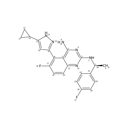 C[C@H](Nc1nc(N)c2c(-c3cc(C4CC4)[nH]n3)c(F)ccc2n1)c1ccc(F)cc1